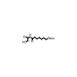 CCCCCCCCCCCCCCCC(=O)NC(CC)CO